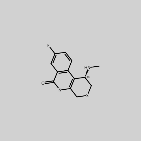 CN[C@H]1CSCc2[nH]c(=O)c3cc(F)ccc3c21